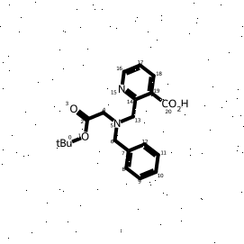 CC(C)(C)OC(=O)CN(Cc1ccccc1)Cc1ncccc1C(=O)O